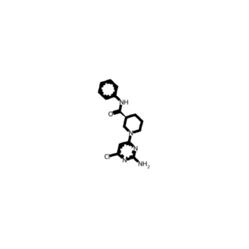 Nc1nc(Cl)cc(N2CCC[C@H](C(=O)Nc3ccccc3)C2)n1